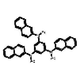 CC(=O)N(c1cc(N(C(C)=O)c2ccc3ccccc3c2)cc(N(C(C)=O)c2ccc3ccccc3c2)c1)c1ccc2ccccc2c1